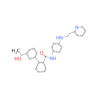 CC(O)c1cccc(-c2ccccc2C(=O)Nc2ccc(NCCc3ccccn3)cc2)c1